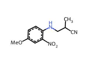 COc1ccc(NCC(C)C#N)c([N+](=O)[O-])c1